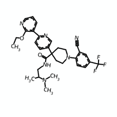 CCOc1ncccc1-c1ccc(C2(C(=O)NCC(C)N(C)C)CCN(c3ccc(C(F)(F)F)cc3C#N)CC2)cn1